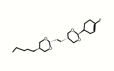 CCCCC[C@H]1CO[C@H](CC[C@H]2CO[C@H](C3CC=C(F)CC3)OC2)OC1